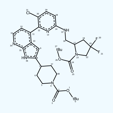 CC(C)(C)OC(=O)N1CCC(c2cc3c(-c4nc(NCC5CC(F)(F)CN5C(=O)OC(C)(C)C)ccc4Cl)ccnc3[nH]2)CC1